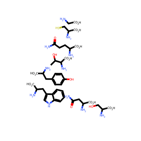 CC(O)C(N)C(=O)O.NC(=O)CC(N)C(=O)O.NC(=O)CCC(N)C(=O)O.NC(CO)C(=O)O.NC(CS)C(=O)O.NC(Cc1c[nH]c2ccccc12)C(=O)O.NC(Cc1ccc(O)cc1)C(=O)O.NCC(=O)O